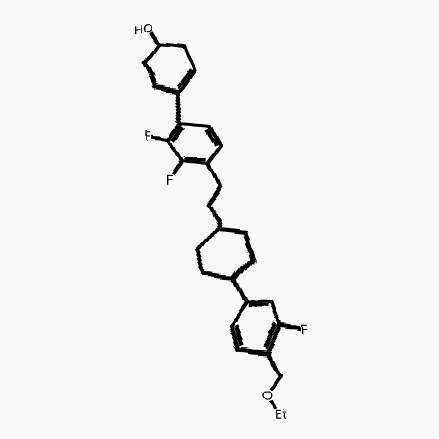 CCOCc1ccc(C2CCC(CCc3ccc(C4=CCC(O)CC4)c(F)c3F)CC2)cc1F